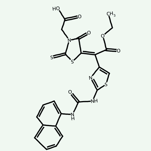 CCOC(=O)C(=C1SC(=S)N(CC(=O)O)C1=O)c1csc(NC(=O)Nc2cccc3ccccc23)n1